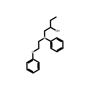 CCC(O)CN(CCOc1ccccc1)c1ccccc1